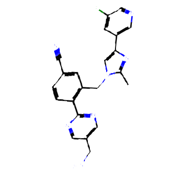 Cc1nc(-c2cncc(F)c2)cn1Cc1cc(C#N)ccc1-c1ncc(CN)cn1